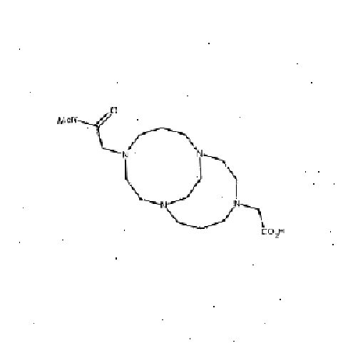 CNC(=O)CN1CCCN2CCN(CCCN(CC(=O)O)CC2)CC1